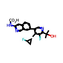 Cc1c(-c2ccc3cc(NC(=O)O)ncc3c2)cnc(C(C)(C)O)c1F.FC1CC1